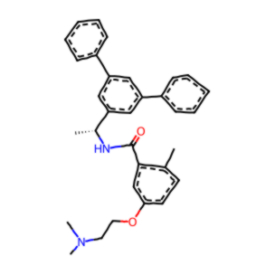 Cc1ccc(OCCN(C)C)cc1C(=O)N[C@H](C)c1cc(-c2ccccc2)cc(-c2ccccc2)c1